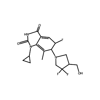 CC1=c2c(c(=O)[nH]c(=O)n2C2CC2)=CC(F)C1N1CC(CO)C(F)(F)C1